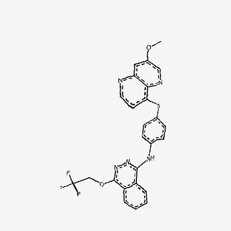 COc1cnc2c(Sc3ccc(Nc4nnc(OCC(F)(F)F)c5ccccc45)cc3)ccnc2c1